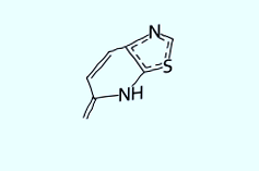 C=C1C=Cc2ncsc2N1